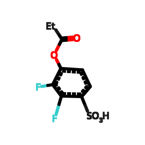 CCC(=O)Oc1ccc(S(=O)(=O)O)c(F)c1F